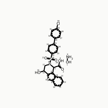 NO.O=C(O)C1c2c(sc3ccccc23)C(O)CN1S(=O)(=O)c1ccc(-c2ccc(Cl)cc2)cc1